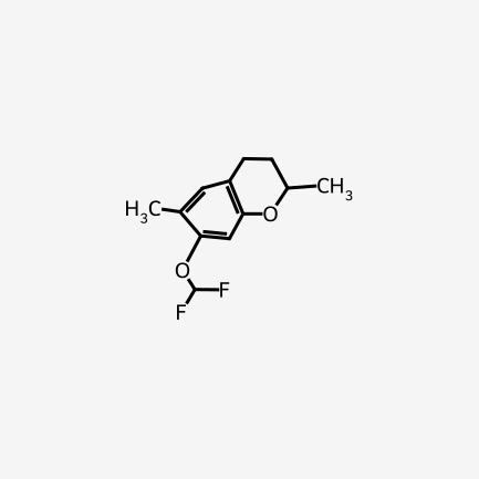 Cc1cc2c(cc1OC(F)F)OC(C)CC2